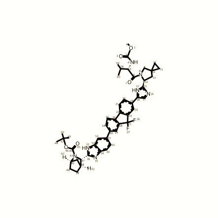 COC(=O)N[C@H](C(=O)N1CC2(CC2)C[C@H]1c1ncc(-c2ccc3c(c2)C(F)(F)c2cc(-c4ccc5nc([C@@H]6[C@H]7CC[C@H](C7)N6C(=O)OC(C)(C)C)[nH]c5c4)ccc2-3)[nH]1)C(C)C